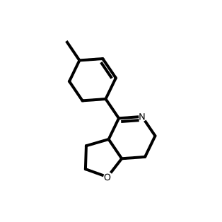 CC1C=CC(C2=NCCC3OCCC23)CC1